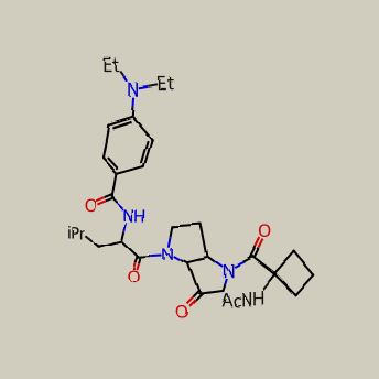 CCN(CC)c1ccc(C(=O)NC(CC(C)C)C(=O)N2CCC3C2C(=O)CN3C(=O)C2(NC(C)=O)CCC2)cc1